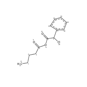 [CH2]CCCC(=O)OC(=O)C(Cl)c1ccccc1